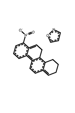 O=[N+]([O-])c1cccc2c1=CCc1c3c(ccc1=2)=CCCC3.c1cnoc1